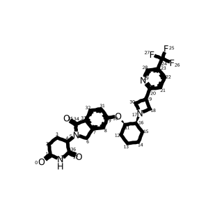 O=C1CCC(N2Cc3cc(O[C@H]4CCCC[C@@H]4N4CC(c5ccc(C(F)(F)F)cn5)C4)ccc3C2=O)C(=O)N1